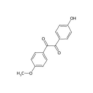 COc1ccc(C(=O)C(=O)c2ccc(O)cc2)cc1